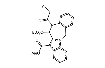 CCOC(=O)C1c2c(C(=O)OC)c3ccccc3n2Cc2ccccc2N1C(=O)CCl